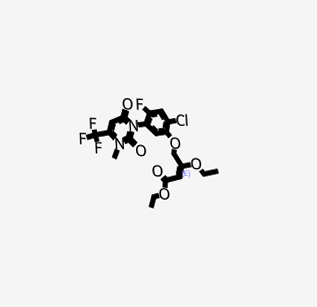 CCOC(=O)/C=C(\COc1cc(-n2c(=O)cc(C(F)(F)F)n(C)c2=O)c(F)cc1Cl)OCC